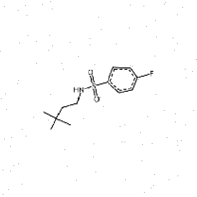 CC(C)(C)CCNS(=O)(=O)c1ccc(F)cc1